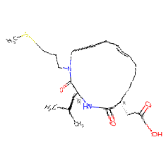 CSCCCN1CCCC=CCCC[C@H](CC(=O)O)C(=O)N[C@@H](C(C)C)C1=O